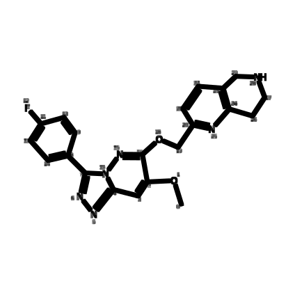 COc1cc2nnc(-c3ccc(F)cc3)n2nc1OCc1ccc2c(n1)CCNC2